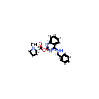 CN1CCC[C@H]1C(=O)Oc1nc(NCc2ccccc2)c2ccccc2n1